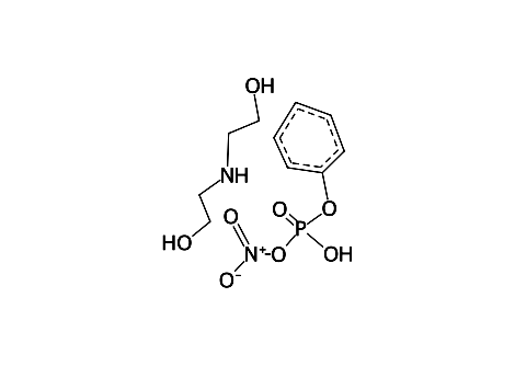 O=[N+]([O-])OP(=O)(O)Oc1ccccc1.OCCNCCO